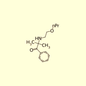 CCCOCCNC(C)(C)C(=O)c1ccccc1